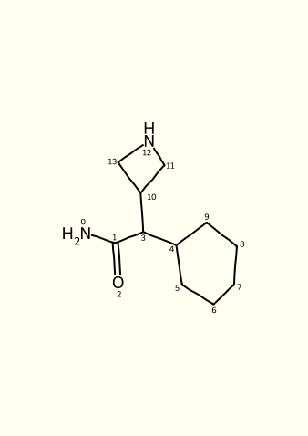 NC(=O)C(C1CCCCC1)C1CNC1